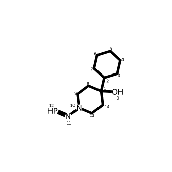 OC1(C2CCCCC2)CCN(N=P)CC1